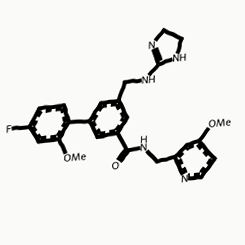 COc1ccnc(CNC(=O)c2cc(CNC3=NCCN3)cc(-c3ccc(F)cc3OC)c2)c1